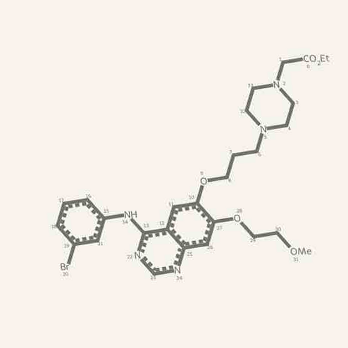 CCOC(=O)CN1CCN(CCCOc2cc3c(Nc4cccc(Br)c4)ncnc3cc2OCCOC)CC1